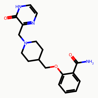 NC(=O)c1ccccc1OCC1CCN(Cc2ncc[nH]c2=O)CC1